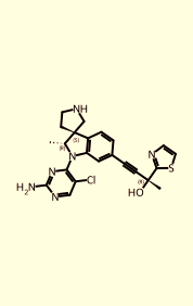 C[C@H]1N(c2nc(N)ncc2Cl)c2cc(C#C[C@@](C)(O)c3nccs3)ccc2[C@]12CCNC2